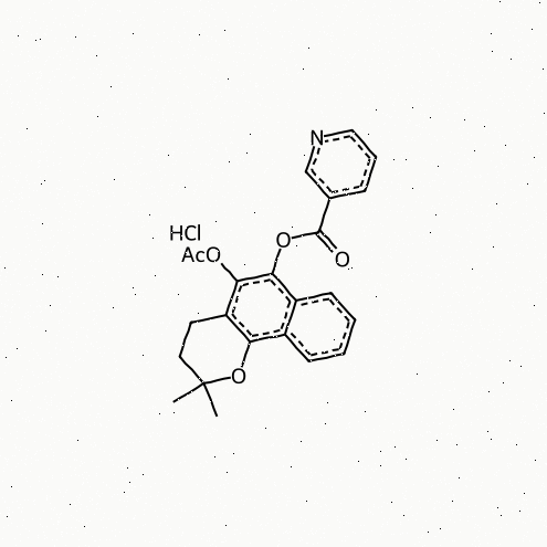 CC(=O)Oc1c2c(c3ccccc3c1OC(=O)c1cccnc1)OC(C)(C)CC2.Cl